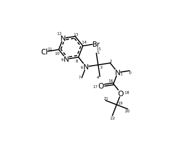 CN(CC(C)(C)N(C)c1nc(Cl)ncc1Br)C(=O)OC(C)(C)C